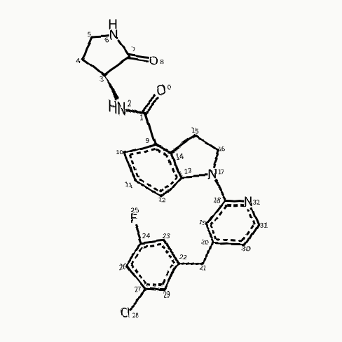 O=C(N[C@H]1CCNC1=O)c1cccc2c1CCN2c1cc(Cc2cc(F)cc(Cl)c2)ccn1